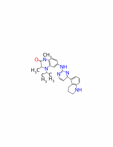 CC(C)N1c2cc(Nc3nccc(-c4cccc5c4CCCN5)n3)ccc2N(C)C(=O)C1C